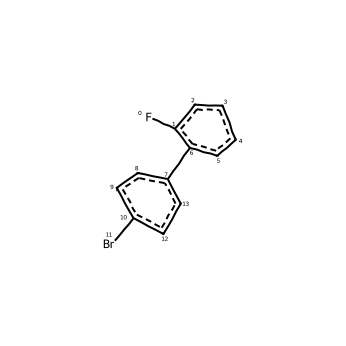 Fc1ccccc1-c1c[c]c(Br)cc1